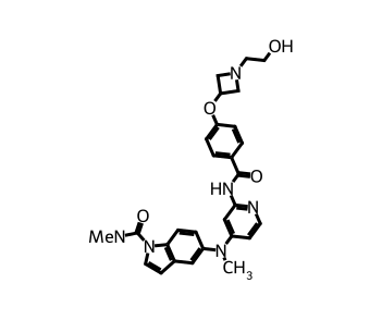 CNC(=O)n1ccc2cc(N(C)c3ccnc(NC(=O)c4ccc(OC5CN(CCO)C5)cc4)c3)ccc21